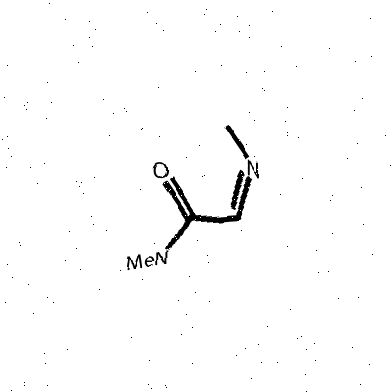 C/N=C\C(=O)NC